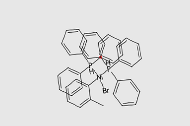 Cc1cccc[c]1[Ni]([Br])([PH](c1ccccc1)(c1ccccc1)c1ccccc1)[PH](c1ccccc1)(c1ccccc1)c1ccccc1